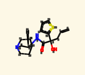 C=CCC(O)(C(=O)N[C@H]1CN2CCC1CC2)c1cccs1